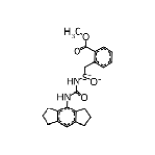 COC(=O)c1ccccc1C[S+]([O-])NC(=O)Nc1c2c(cc3c1CCC3)CCC2